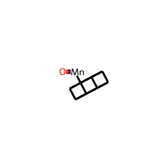 [O]=[Mn][C]12C3C4C5C3C1C5C42